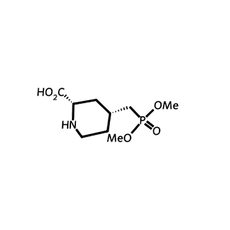 COP(=O)(C[C@@H]1CCN[C@H](C(=O)O)C1)OC